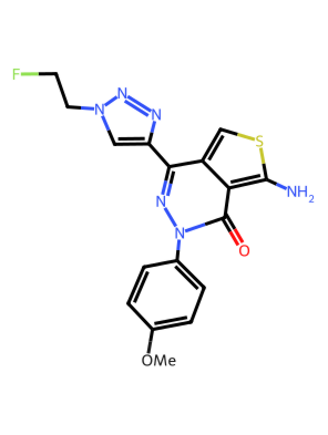 COc1ccc(-n2nc(-c3cn(CCF)nn3)c3csc(N)c3c2=O)cc1